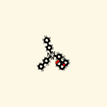 C1=CC(c2ccc(-c3nc(-c4ccc(-c5ccccc5)cc4)nc(-c4ccc5c(c4)C4(c6ccccc6Cc6ccccc64)c4ccccc4S5)n3)cc2)=CCC1